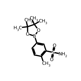 Cc1ccc(B2OC(C)(C)C(C)(C)O2)cc1S(N)(=O)=O